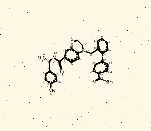 C[C@H](NC(=O)c1ccc2c(c1)OCCN2Cc1ccccc1-c1ccc(C(N)=O)cc1)c1ccc(C#N)cc1